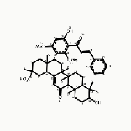 CC1(C(=O)O)CCC2(C)CCC3(C)C(=CC(=O)C4C5(C)CCC(O)C(C)(C)C5CCC43C)C2C1.COc1cc(O)c(C(=O)C=Cc2ccccc2)c(OC)c1